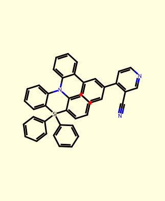 N#Cc1cnccc1-c1cccc(-c2ccccc2N2c3ccccc3[Si](c3ccccc3)(c3ccccc3)c3ccccc32)c1